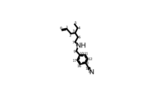 C=CCC(CC)CCNCc1ccc(C#N)cc1